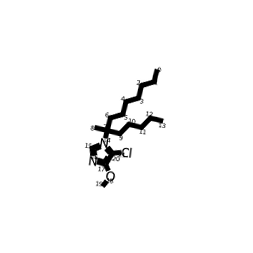 CCCCCCCC(C)(CCCCC)n1cnc(OC)c1Cl